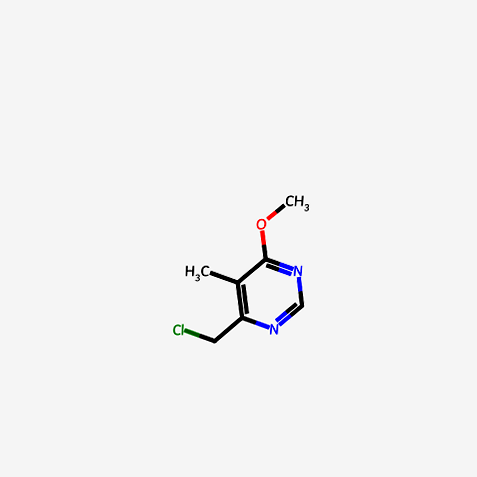 COc1ncnc(CCl)c1C